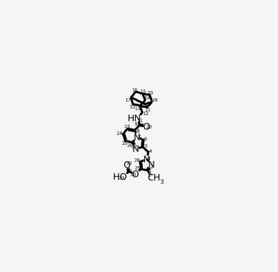 Cc1nn(Cc2cn3c(C(=O)NCC45CC6CC(CC(C6)C4)C5)cccc3n2)cc1OC(=O)O